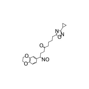 O=NC(CCC(=O)CCCCc1nc(C2CC2)no1)c1ccc2c(c1)OCCO2